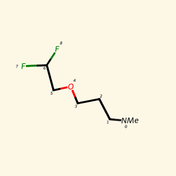 CNCCCOCC(F)F